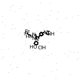 Cl.OC1CCC(n2cc(-c3ccc(CN4CCNCC4)cc3)c3cnc(NCCC(F)(F)F)nc32)CC1